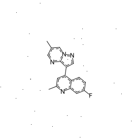 Cc1cnc2c(-c3cc(C)nc4cc(F)ccc34)cnn2c1